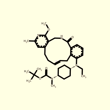 CCN(c1cccc2c1C/C=C/CCc1cc(C)nc(OC)c1CNC2=O)[C@H]1CC[C@@H](N(C)C(=O)OC(C)(C)C)CC1